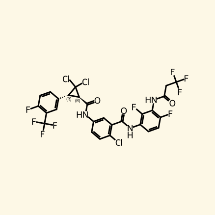 O=C(CC(F)(F)F)Nc1c(F)ccc(NC(=O)c2cc(NC(=O)[C@H]3[C@H](c4ccc(F)c(C(F)(F)F)c4)C3(Cl)Cl)ccc2Cl)c1F